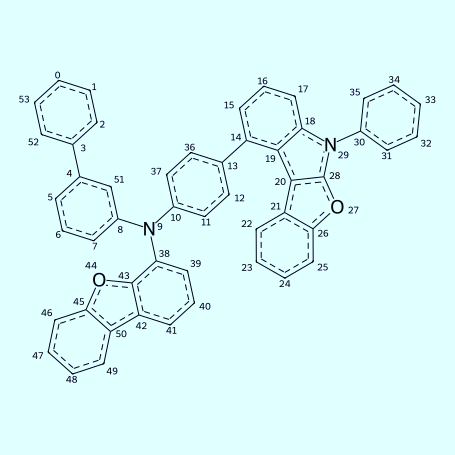 c1ccc(-c2cccc(N(c3ccc(-c4cccc5c4c4c6ccccc6oc4n5-c4ccccc4)cc3)c3cccc4c3oc3ccccc34)c2)cc1